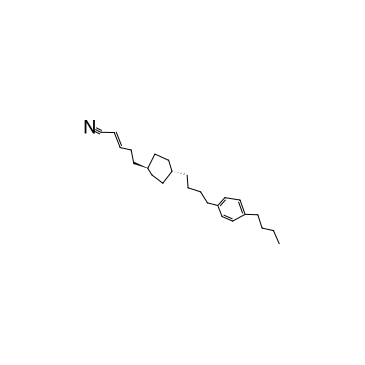 CCCCc1ccc(CCCC[C@H]2CC[C@H](CC/C=C/C#N)CC2)cc1